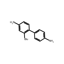 CC(C)(C)c1cc(N)ccc1-c1ccc(N)cc1